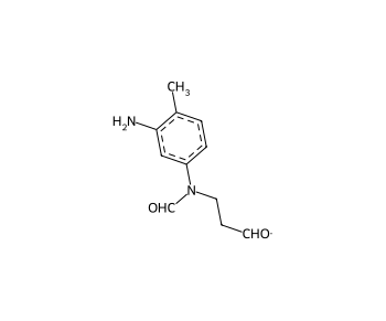 Cc1ccc(N(C=O)CC[C]=O)cc1N